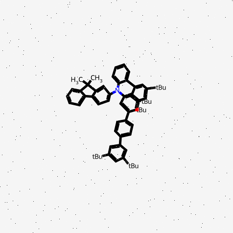 CC(C)(C)c1cc(-c2ccc(-c3cc(C(C)(C)C)cc(C(C)(C)C)c3)cc2)cc(N(c2ccc3c(c2)C(C)(C)c2ccccc2-3)c2ccccc2-c2cc(C(C)(C)C)cc(C(C)(C)C)c2)c1